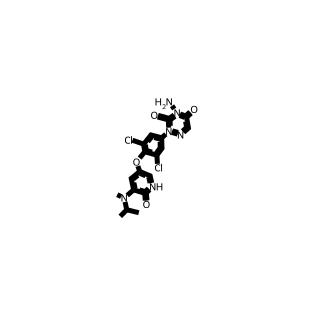 CC(C)N(C)c1cc(Oc2c(Cl)cc(-n3ncc(=O)n(N)c3=O)cc2Cl)c[nH]c1=O